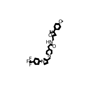 COc1ccc(-c2cc(CNC(=O)CC3CCN(Cc4ccn(-c5ccc(C(F)(F)F)cc5)c4)CC3)on2)cc1